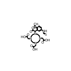 COc1ccc(NC=S)cc1C(C(=O)O)N1CCN(CC(=O)O)CCN(CC(=O)O)CCN(CC(=O)O)CC1